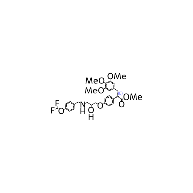 COC(=O)/C(=C/c1cc(OC)c(OC)c(OC)c1)c1ccc(OCC(O)CNCc2ccc(OC(F)F)cc2)cc1